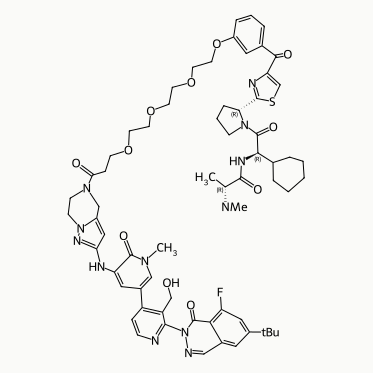 CN[C@H](C)C(=O)N[C@@H](C(=O)N1CCC[C@@H]1c1nc(C(=O)c2cccc(OCCOCCOCCOCCC(=O)N3CCn4nc(Nc5cc(-c6ccnc(-n7ncc8cc(C(C)(C)C)cc(F)c8c7=O)c6CO)cn(C)c5=O)cc4C3)c2)cs1)C1CCCCC1